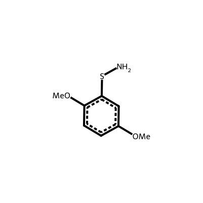 COc1ccc(OC)c(SN)c1